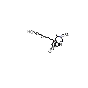 C=C1/C=C(OCOC)\C=C/C[C@H]2CC[C@]3(C)[C@@H](OCOC)CC[C@H]3[C@@H]2[C@H](CCCCCCOCCOCCO)C1